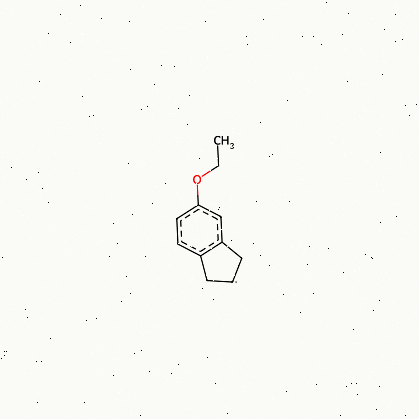 CCOc1ccc2c(c1)C[CH]C2